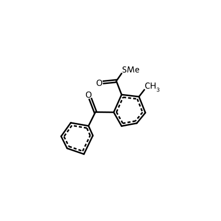 CSC(=O)c1c(C)cccc1C(=O)c1ccccc1